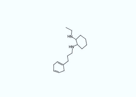 CCNC1CCCCC1NCCCC1=CCC=CC1